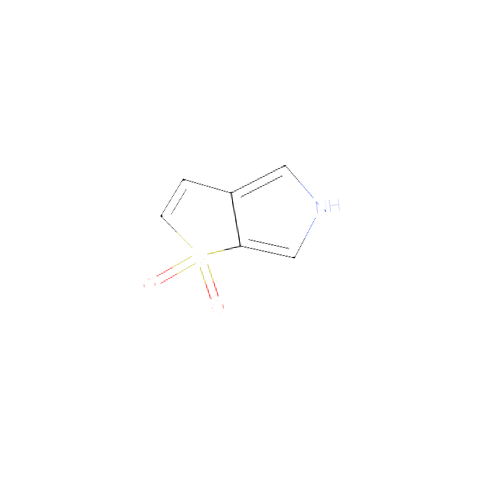 O=S1(=O)C=Cc2c[nH]cc21